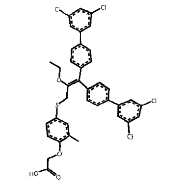 CCOC(CSc1ccc(OCC(=O)O)c(C)c1)=C(c1ccc(-c2cc(Cl)cc(Cl)c2)cc1)c1ccc(-c2cc(Cl)cc(Cl)c2)cc1